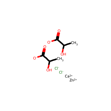 CC(O)C(=O)[O-].CC(O)C(=O)[O-].[Ca+2].[Cl-].[Cl-].[Zn+2]